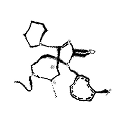 CCN1CC[C@@]2(C[C@@H]1C)C(N1CCCC1)=NC(=O)N2c1cccc(F)c1